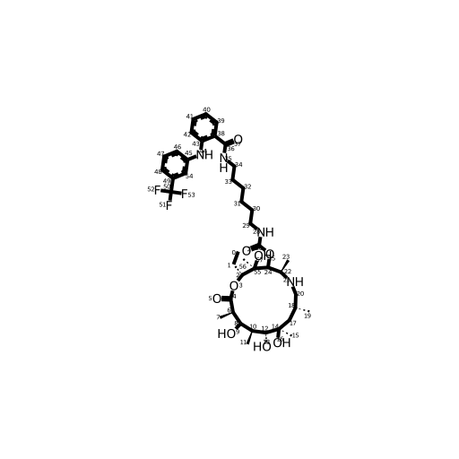 CC[C@H]1OC(=O)[C@H](C)C(O)[C@H](C)[C@@H](O)[C@](C)(O)C[C@@H](C)CN[C@H](C)C(OC(=O)NCCCCCCNC(=O)c2ccccc2Nc2cccc(C(F)(F)F)c2)[C@]1(C)O